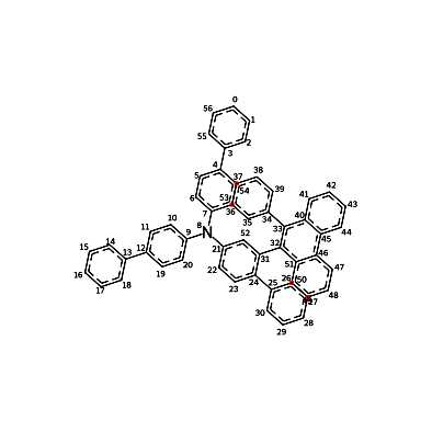 c1ccc(-c2ccc(N(c3ccc(-c4ccccc4)cc3)c3ccc(-c4ccccc4)c(-c4c(-c5ccccc5)c5ccccc5c5ccccc45)c3)cc2)cc1